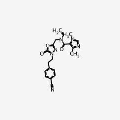 C=CN(Cc1nn(CCc2ccc(C#N)cc2)c(=O)o1)C(=O)c1c(C)ncn1C